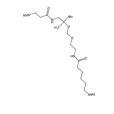 CNCCCCCC(=O)NCCOCOC(C)(CNC(=O)CCNC)C(C)(C)C